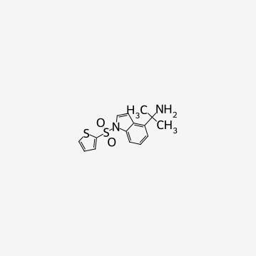 CC(C)(N)c1cccc2c1ccn2S(=O)(=O)c1cccs1